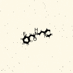 C/C=N\C(=C/C)CCNC(=O)Cc1ccccc1F